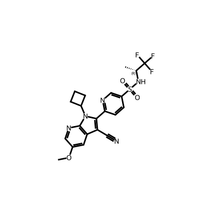 COc1cnc2c(c1)c(C#N)c(-c1ccc(S(=O)(=O)N[C@H](C)C(F)(F)F)cn1)n2C1CCC1